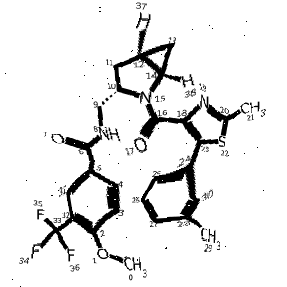 COc1ccc(C(=O)NC[C@@H]2C[C@@H]3C[C@@H]3N2C(=O)c2nc(C)sc2-c2cccc(C)c2)cc1C(F)(F)F